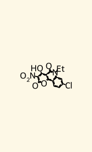 CCn1c(=O)c2c(O)c([N+](=O)[O-])c(=O)oc2c2ccc(Cl)cc21